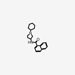 O=C(NC1CCN(C2CCCCC2)C1)c1cccc2ccccc12